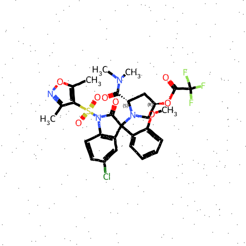 COc1ccccc1C1(N2C[C@H](OC(=O)C(F)(F)F)C[C@H]2C(=O)N(C)C)C(=O)N(S(=O)(=O)c2c(C)noc2C)c2ccc(Cl)cc21